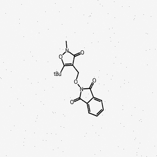 Cn1oc(C(C)(C)C)c(CON2C(=O)c3ccccc3C2=O)c1=O